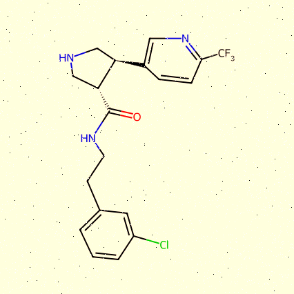 O=C(NCCc1cccc(Cl)c1)[C@@H]1CNC[C@H]1c1ccc(C(F)(F)F)nc1